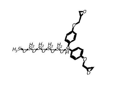 [SiH3]O[SiH2]O[SiH2]O[SiH2]O[SiH2]O[SiH](c1ccc(OCC2CO2)cc1)c1ccc(OCC2CO2)cc1